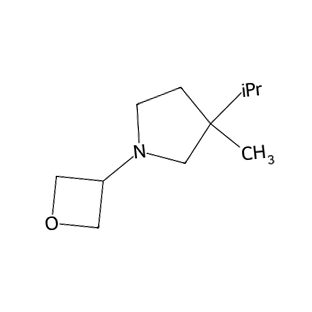 CC(C)C1(C)CCN(C2COC2)C1